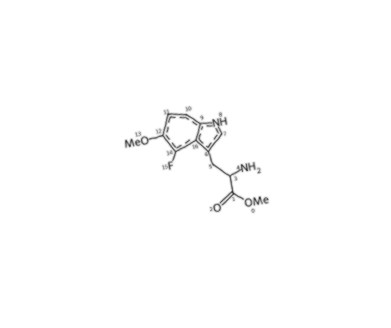 COC(=O)C(N)Cc1c[nH]c2ccc(OC)c(F)c12